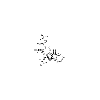 CC(C)(C)OC(=O)N1CCC(C(=O)OC(C)(C)C)(c2nc3ccccc3[nH]2)CC1N